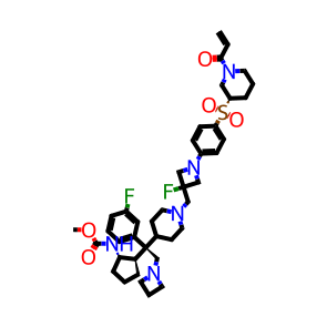 C=CC(=O)N1CCC[C@H](S(=O)(=O)c2ccc(N3CC(F)(CN4CCC([C@@](CN5CCC5)(c5cccc(F)c5)[C@H]5CCC[C@@H]5NC(=O)OC)CC4)C3)cc2)C1